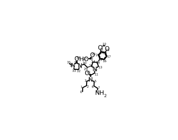 CCCCN(CCCN)C(=O)CN1C[C@H](c2ccc3c(c2)OCO3)[C@@H](C(=O)O)[C@@H]1CCN1CCN(C)C1=O